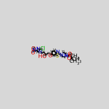 CC(C)(C)OC(=O)N1CCN(c2nc3ccc(OC[C@H](O)CCn4cc([N+](=O)[O-])nc4Cl)cc3s2)CC1